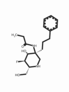 CCC(=O)N[C@@]1(CCCc2ccccc2)CN[C@H](CO)[C@@H](F)[C@@H]1O